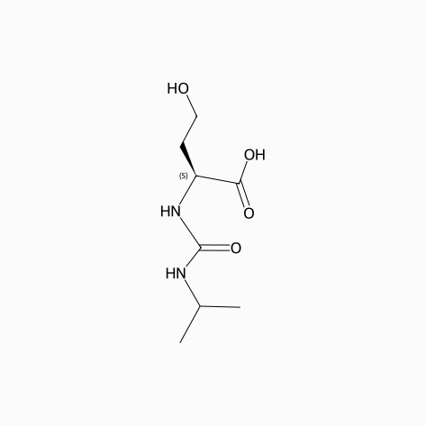 CC(C)NC(=O)N[C@@H](CCO)C(=O)O